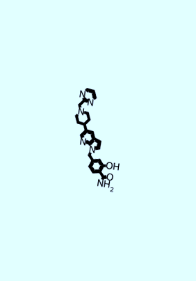 NC(=O)c1ccc(Cn2ccc3cc(C4CCN(Cc5ncccn5)CC4)cnc32)cc1O